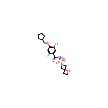 O=C(NS(=O)(=O)N1CC2(CCO2)C1)c1cc(Cl)c(OCC2CCCC2)cc1F